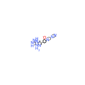 C=C1C(c2ccc(N3CCC(N4CCN(C)CC4)CC3)c(OC)c2)=CN=C(N)C1N/C(CC)=C(\N)NC